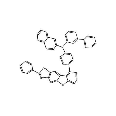 c1ccc(-c2cccc(N(c3ccc(-c4cccc5oc6cc7nc(-c8ccccc8)oc7cc6c45)cc3)c3ccc4ccccc4c3)c2)cc1